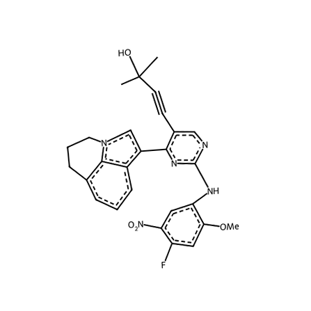 COc1cc(F)c([N+](=O)[O-])cc1Nc1ncc(C#CC(C)(C)O)c(-c2cn3c4c(cccc24)CCC3)n1